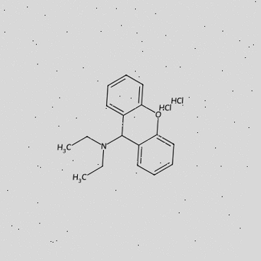 CCN(CC)C1c2ccccc2Oc2ccccc21.Cl.Cl